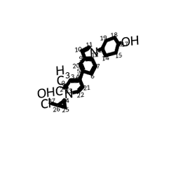 CC1(C=O)C=C(c2ccc3c(ccn3C3CCC(O)CC3)c2)C=CN1C1CC1Cl